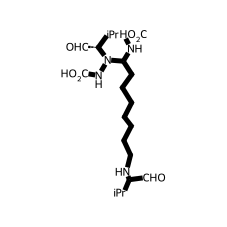 CC(C)C(C=O)NCCCCCCCC(NC(=O)O)N(NC(=O)O)[C@H](C=O)C(C)C